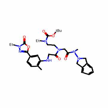 CCN(CCN(CC(=O)N(C)N1Cc2ccccc2C1)C(=O)CNc1cc(-c2nn(CC)c(=O)o2)ccc1C)C(=O)OC(C)(C)C